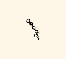 C=CCC(=O)O[C@H]1CC[C@H]([C@H]2CC[C@H](c3ccc(Cl)cc3)CC2)CC1